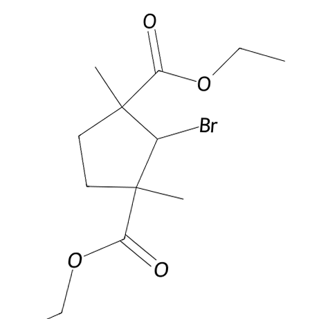 CCOC(=O)C1(C)CCC(C)(C(=O)OCC)C1Br